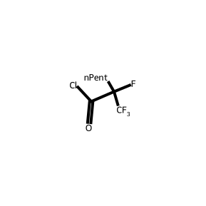 CCCCCC(F)(C(=O)Cl)C(F)(F)F